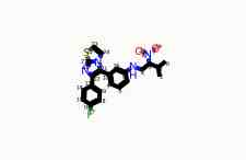 CC(C)C(CNc1cccc(-c2c(-c3ccc(F)cc3)nc3sccn23)c1)[N+](=O)[O-]